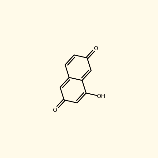 O=C1C=C(O)C2=CC(=O)C=CC2=C1